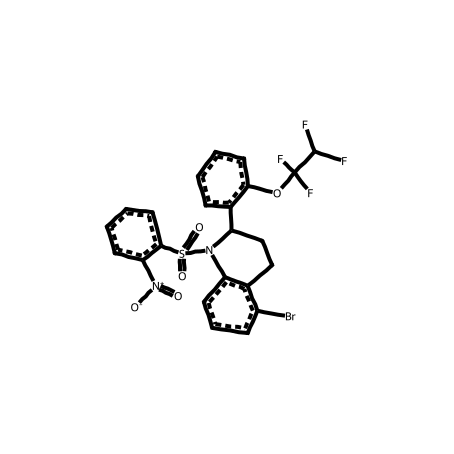 O=[N+]([O-])c1ccccc1S(=O)(=O)N1c2cccc(Br)c2CCC1c1ccccc1OC(F)(F)C(F)F